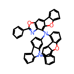 c1ccc(-c2nc3c(N(c4ccc5c6ccccc6n(-c6ccccc6)c5c4)c4cccc5oc6ccccc6c45)c4oc5ccccc5c4cc3o2)cc1